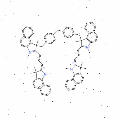 CN1/C(=C/C=C/C2=[N+](C)c3ccc4ccccc4c3C2(C)Cc2ccc(Cc3ccc(CC4(C)C(/C=C/C=C5/N(C)c6c(ccc7ccccc67)C5(C)C)=[N+](C)c5ccc6ccccc6c54)cc3)cc2)C(C)(C)c2ccc3ccccc3c21